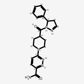 NC(=O)c1ccc(N2CCC(C(=O)N3N=CCC3c3ccccc3)CC2)nn1